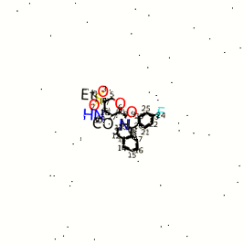 CCS(=O)(=O)[C@H]1CO[C@@H](C(=O)N2CCc3ccccc3[C@@H]2c2ccc(F)cc2)C[C@@H]1NC(=O)O